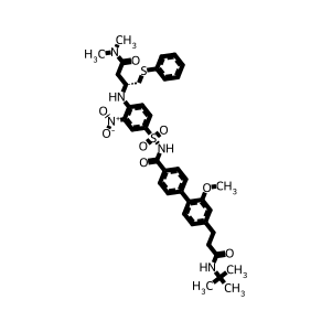 COc1cc(CCC(=O)NC(C)(C)C)ccc1-c1ccc(C(=O)NS(=O)(=O)c2ccc(N[C@@H](CSc3ccccc3)CC(=O)N(C)C)c([N+](=O)[O-])c2)cc1